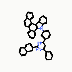 C1=CC2=CC=C(C3NC(C4=CCCC=C4)=CC(c4cccc(-n5c6ccccc6c6c7c8ccccc8ccc7c7ccccc7c65)c4)N3)CC2C=C1